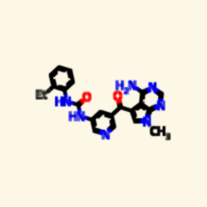 CCc1ccccc1NC(=O)Nc1cncc(C(=O)c2cn(C)c3ncnc(N)c23)c1